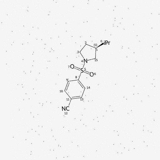 CC(C)[C@@H]1CCN(S(=O)(=O)c2ccc(C#N)cc2)C1